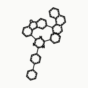 c1ccc(-c2ccc(-c3nc(-c4ccccc4)nc(-c4cccc5oc6ccc(-c7cccc8ccc9ccccc9c78)cc6c45)n3)cc2)cc1